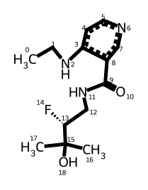 CCNc1c[c]ncc1C(=O)NC[C@@H](F)C(C)(C)O